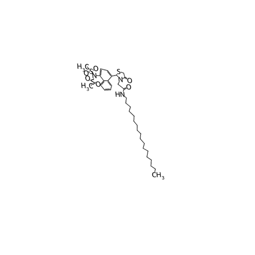 CCCCCCCCCCCCCCCCCCNC(=O)CN1C(=O)CSC1c1ccc(N(S(C)(=O)=O)S(C)(=O)=O)c2ccccc12